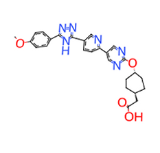 COc1ccc(-c2nnc(-c3ccc(-c4cnc(O[C@H]5CC[C@H](CC(=O)O)CC5)nc4)nc3)[nH]2)cc1